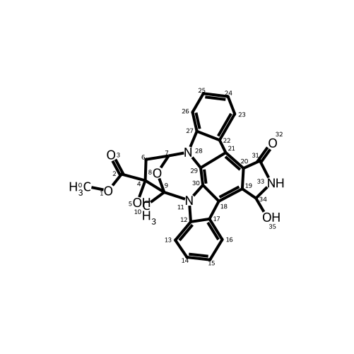 COC(=O)C1(O)CC2OC1(C)n1c3ccccc3c3c4c(c5c6ccccc6n2c5c31)C(=O)NC4O